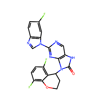 O=c1[nH]c2cnc(-n3cnc4ccc(F)cc43)nc2n1C1CCOc2c(F)ccc(F)c21